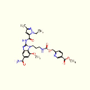 CCn1nc(C)cc1C(=O)Nc1nc2cc(C(N)=O)cc(OC)c2n1CCCNC(=O)OCc1ccc(C(=O)OC)cn1